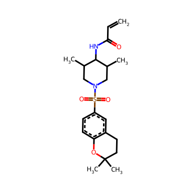 C=CC(=O)NC1C(C)CN(S(=O)(=O)c2ccc3c(c2)CCC(C)(C)O3)CC1C